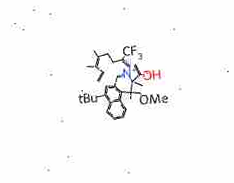 C=CC(C)=C(C)CC/C(=C\[N+]1=Cc2cc(C(C)(C)C)c3ccccc3c2C(C)(COC)C1(C)C(=C)O)C(F)(F)F